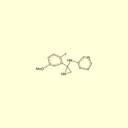 COc1ccc(I)c(C2(Nc3cccnc3)CN2)c1